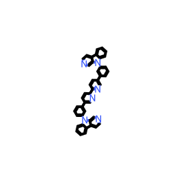 c1cc(-c2ccc(-c3ccc(-c4cccc(-n5c6ccccc6c6ccncc65)c4)cn3)nc2)cc(-n2c3ccccc3c3ccncc32)c1